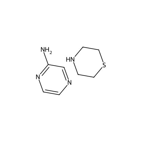 C1CSCCN1.Nc1cnccn1